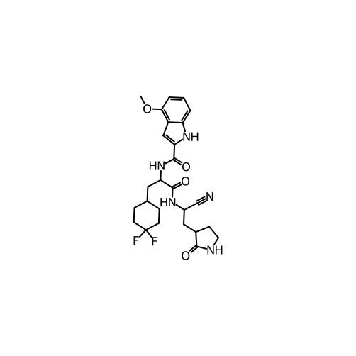 COc1cccc2[nH]c(C(=O)NC(CC3CCC(F)(F)CC3)C(=O)NC(C#N)CC3CCNC3=O)cc12